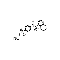 N#CC=CS(=O)(=O)c1ccc(N[S+]([O-])c2cccc3c2CCCC3)cc1